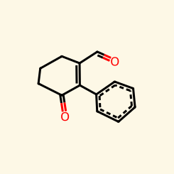 O=CC1=C(c2ccccc2)C(=O)CCC1